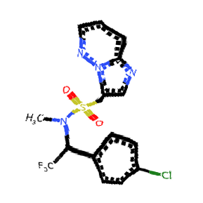 CN(C(c1ccc(Cl)cc1)C(F)(F)F)S(=O)(=O)c1cnc2cccnn12